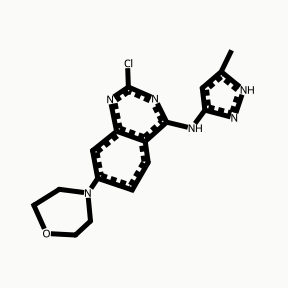 Cc1cc(Nc2nc(Cl)nc3cc(N4CCOCC4)ccc23)n[nH]1